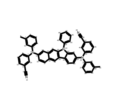 Cc1cccc(N(c2cccc(C#N)c2)c2ccc3cc4c5ccc(N(c6cccc(C)c6)c6cccc(C#N)c6)cc5n(-c5ccccc5)c4cc3c2)c1